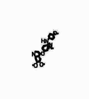 COc1ccc(Nc2nn(C)c3cc(Oc4ccnc5cc(OC)c(OC)cc45)ccc23)cc1